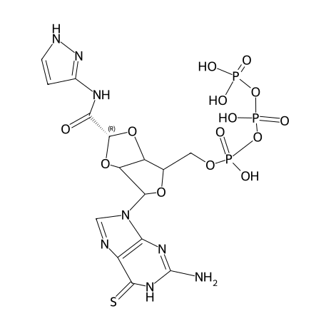 Nc1nc2c(ncn2C2OC(COP(=O)(O)OP(=O)(O)OP(=O)(O)O)C3O[C@@H](C(=O)Nc4cc[nH]n4)OC32)c(=S)[nH]1